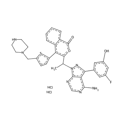 CC(c1oc(=O)c2ccccc2c1-c1ccc(CN2CCNCC2)s1)n1nc(-c2cc(O)cc(F)c2)c2c(N)ncnc21.Cl.Cl